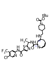 CC(NC(=O)C1=N/C=C=CC/C(NCC2CCN(C(=O)OC(C)(C)C)CC2)=C\1)c1ncc(C(=O)Nc2cc(C(F)(F)F)c(Cl)cn2)s1